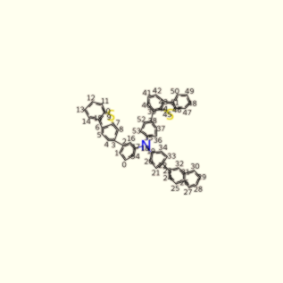 c1cc(-c2ccc3c(c2)sc2ccccc23)cc(N(c2ccc(-c3ccc4ccccc4c3)cc2)c2ccc(-c3cccc4c3sc3ccccc34)cc2)c1